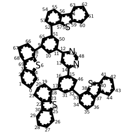 c1ccc2c(c1)sc1c(-c3cc(-c4cc(-c5cc(-c6cccc7c6sc6ccccc67)cc(-c6cccc7c6sc6ccccc67)c5)ncn4)cc(-c4cccc5c4sc4ccccc45)c3)cccc12